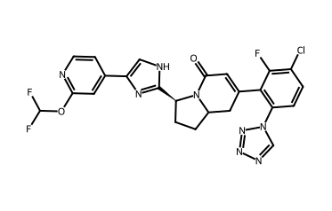 O=C1C=C(c2c(-n3cnnn3)ccc(Cl)c2F)CC2CC[C@@H](c3nc(-c4ccnc(OC(F)F)c4)c[nH]3)N12